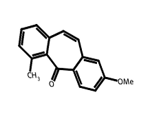 COc1ccc2c(=O)c3c(C)cccc3ccc2c1